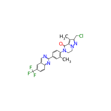 Cc1cc(-c2ncc3cc(C(F)(F)F)ccc3n2)ccc1N1CCn2nc(CCl)c(C)c2C1=O